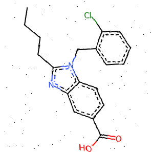 CCCCc1nc2cc(C(=O)O)ccc2n1Cc1ccccc1Cl